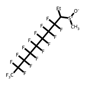 CCC([S+](C)[O-])C(F)(F)C(F)(F)C(F)(F)C(F)(F)C(F)(F)C(F)(F)C(F)(F)C(F)(F)F